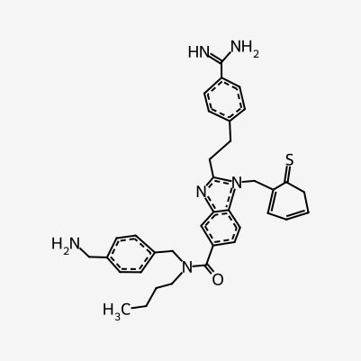 CCCCN(Cc1ccc(CN)cc1)C(=O)c1ccc2c(c1)nc(CCc1ccc(C(=N)N)cc1)n2CC1=CC=CCC1=S